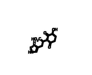 O=C(O)C(CC1=CNSN1)N1C(=O)CCC(O)C1=O